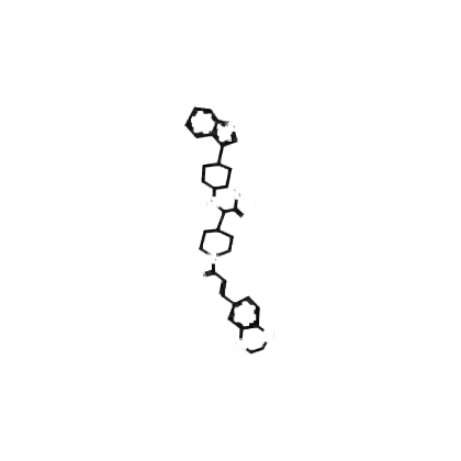 NC(=O)C(NC1CCC(c2c[nH]c3ccccc23)CC1)C1CCN(C(=O)C=Cc2ccc3c(c2)OCCO3)CC1